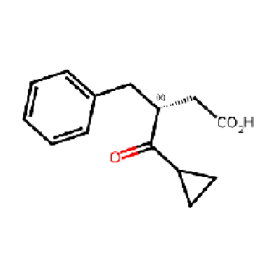 O=C(O)C[C@@H](Cc1ccccc1)C(=O)C1CC1